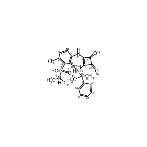 CN(C)S(=O)(=O)c1c(Cl)ccc(Nc2c(NC(C)(C)c3ccccc3)c(=O)c2=O)c1O